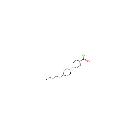 CCCCCC1CCC([C@H]2CC[C@H](C(=O)Cl)CC2)CC1